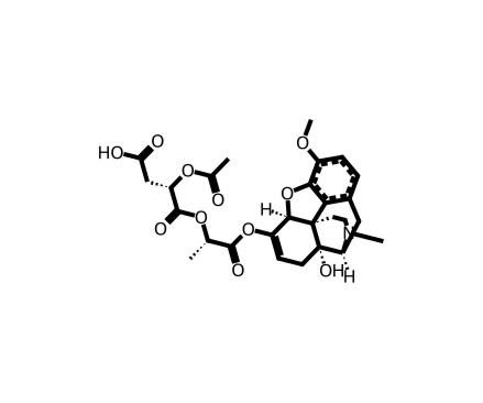 COc1ccc2c3c1O[C@@H]1C(OC(=O)[C@H](C)OC(=O)[C@H](CC(=O)O)OC(C)=O)=CC[C@]4(O)[C@H](C2)N(C)CC[C@@]314